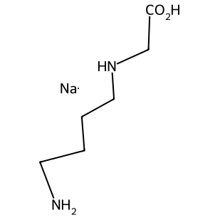 NCCCCNCC(=O)O.[Na]